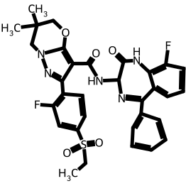 CCS(=O)(=O)c1ccc(-c2nn3c(c2C(=O)NC2N=C(c4ccccc4)c4cccc(F)c4NC2=O)OCC(C)(C)C3)c(F)c1